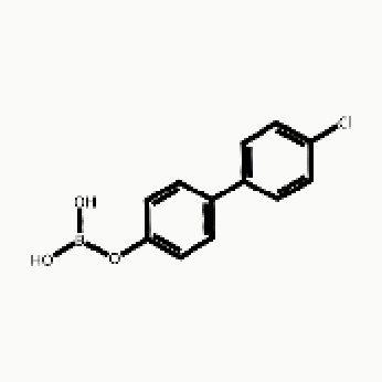 OB(O)Oc1ccc(-c2ccc(Cl)cc2)cc1